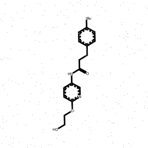 CC(C)(C)c1ccc(CCC(=O)Nc2ccc(OCCO)nc2)cc1